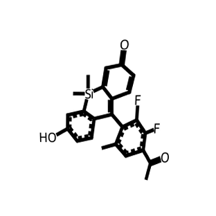 CC(=O)c1cc(C)c(C2=C3C=CC(=O)C=C3[Si](C)(C)c3cc(O)ccc32)c(F)c1F